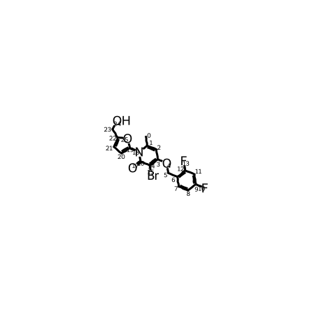 Cc1cc(OCc2ccc(F)cc2F)c(Br)c(=O)n1-c1ccc(CO)o1